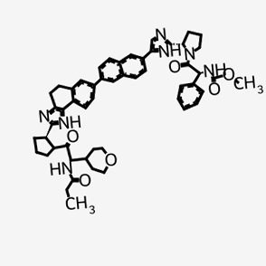 CCC(=O)N[C@H](C(=O)C1CCC[C@H]1c1nc2c([nH]1)-c1ccc(-c3ccc4cc(-c5cnc([C@@H]6CCCN6C(=O)[C@H](NC(=O)OC)c6ccccc6)[nH]5)ccc4c3)cc1CC2)C1CCOCC1